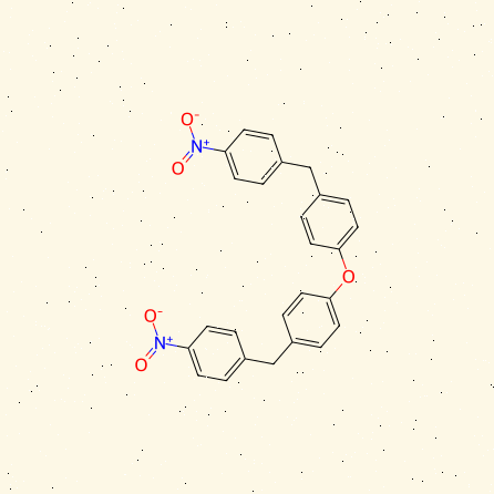 O=[N+]([O-])c1ccc(Cc2ccc(Oc3ccc(Cc4ccc([N+](=O)[O-])cc4)cc3)cc2)cc1